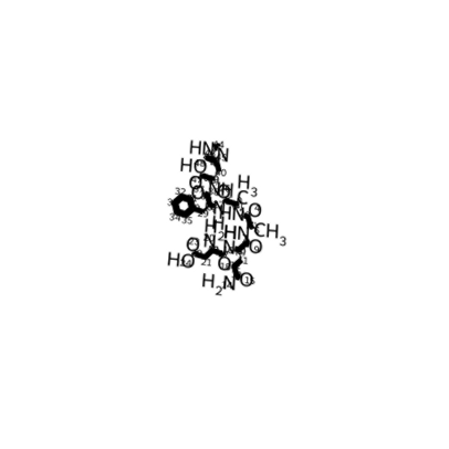 C[C@H](NC(=O)[C@H](C)NC(=O)[C@H](CCC(N)=O)NC(=O)[C@@H](N)CC(=O)O)C(=O)N[C@@H](Cc1ccccc1)C(=O)N[C@@H](Cc1c[nH]cn1)C(=O)O